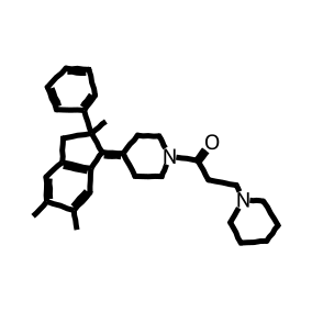 Cc1cc2c(cc1C)C(=C1CCN(C(=O)CCN3CCCCC3)CC1)C(C)(c1ccccc1)C2